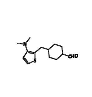 CN(C)c1ccsc1CC1CCC(C=O)CC1